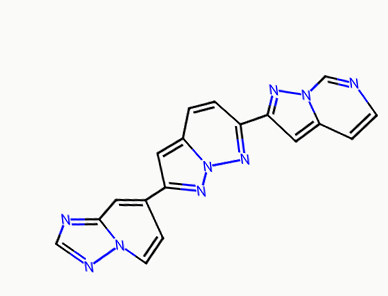 c1cc2cc(-c3ccc4cc(-c5ccn6ncnc6c5)nn4n3)nn2cn1